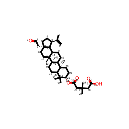 C=C(C)[C@@H]1CC[C@]2(CC=O)CC[C@]3(C)C(CCC4[C@@]5(C)CC[C@H](OC(=O)CC(C)(C)CC(=O)O)C(C)(C)C5CC[C@]43C)C12